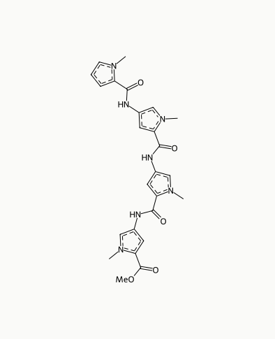 COC(=O)c1cc(NC(=O)c2cc(NC(=O)c3cc(NC(=O)c4cccn4C)cn3C)cn2C)cn1C